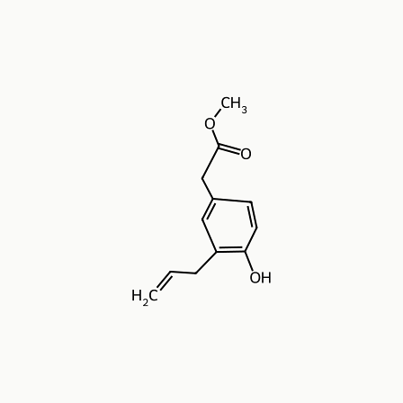 C=CCc1cc(CC(=O)OC)ccc1O